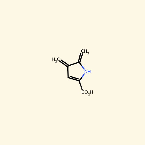 C=c1cc(C(=O)O)[nH]c1=C